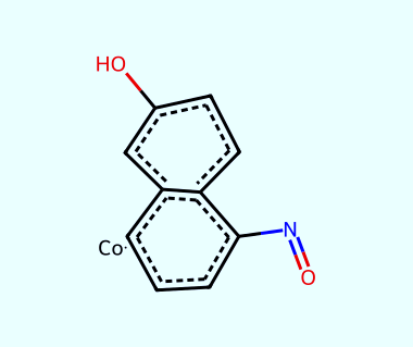 O=Nc1cccc2cc(O)ccc12.[Co]